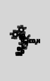 CC(C(=O)N(C)[C@H](C(=O)O)[C@H](C)CO[Si](c1ccccc1)(c1ccccc1)C(C)(C)C)N(C)C(=O)OC(C)(C)C